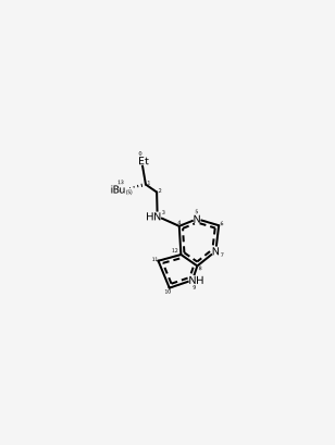 CCC(CNc1ncnc2[nH]ccc12)[C@@H](C)CC